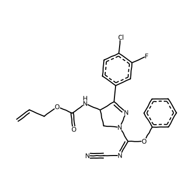 C=CCOC(=O)NC1CN(/C(=N\C#N)Oc2ccccc2)N=C1c1ccc(Cl)c(F)c1